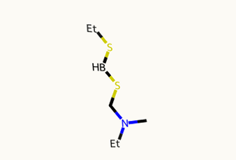 CCSBSCN(C)CC